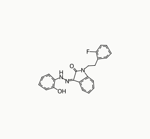 O=C1C(=NNc2ccccc2O)c2ccccc2N1CCc1ccccc1F